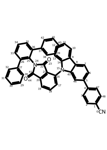 N#Cc1ccc(-c2ccc3c4ccccc4n(-c4cccc5c4C(=O)N(c4c(-c6ccccc6)cccc4-c4ccccc4)C5=O)c3c2)cc1